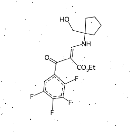 CCOC(=O)/C(=C\NC1(CO)CCCC1)C(=O)c1cc(F)c(F)c(F)c1F